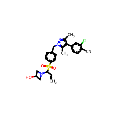 C=CC(N1CC(O)C1)S(=O)(=O)c1ccc(Cn2nc(C)c(-c3ccc(C#N)c(Cl)c3)c2C)cc1